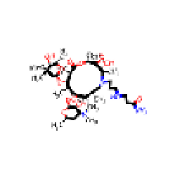 CC[C@H]1OC(=O)[C@H](C)[C@@H](O[C@H]2C[C@@](C)(OC)[C@@H](O)[C@H](C)O2)[C@H](C)[C@@H](O[C@@H]2O[C@H](C)C[C@H](N(C)C)[C@H]2O)[C@](C)(O)C[C@@H](C)CN(CCCNCCC(N)=O)[C@H](C)[C@@H](O)[C@]1(C)O